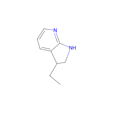 CCC1CNc2ncccc21